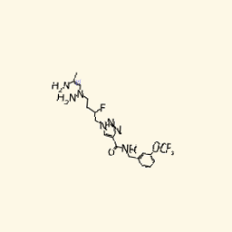 C/C(N)=C/N(N)CCC(F)Cn1cc(C(=O)NCc2cccc(OC(F)(F)F)c2)nn1